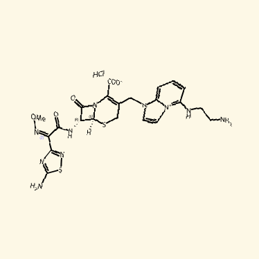 CO/N=C(\C(=O)N[C@@H]1C(=O)N2C(C(=O)[O-])=C(Cn3cc[n+]4c(NCCN)cccc34)CS[C@@H]12)c1nsc(N)n1.Cl